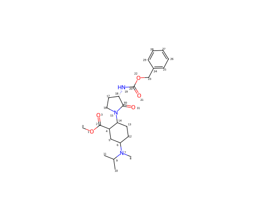 COC(=O)C1CC(N(C)C(C)C)CCC1N1CC[C@H](NC(=O)OCc2ccccc2)C1=O